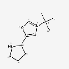 CC(C)(C)[n+]1coc(C2CCCN2)c1